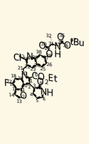 CCOC(=O)c1c(-c2ccc[nH]c2=O)c2c3occc3c(F)cc2n1Cc1cc2ccc(OC(=O)[C@H](C)NC(=O)OC(C)(C)C)cc2nc1Cl